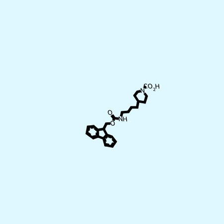 O=C(NCCCCC1CCN(C(=O)O)CC1)OCC1c2ccccc2-c2ccccc21